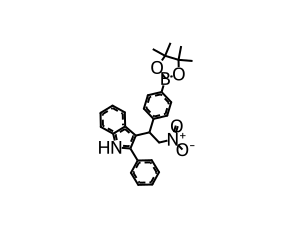 CC1(C)OB(c2ccc(C(C[N+](=O)[O-])c3c(-c4ccccc4)[nH]c4ccccc34)cc2)OC1(C)C